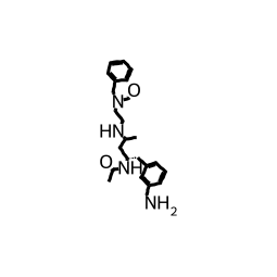 CC(=O)N[C@@H](Cc1cccc(CN)c1)CC(C)NCCN(C=O)Cc1ccccc1